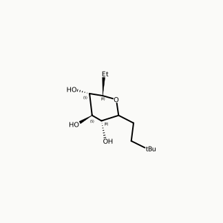 CC[C@H]1OC(CCC(C)(C)C)[C@H](O)[C@@H](O)[C@@H]1O